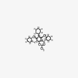 COC(=O)Oc1c(Cc2ccccc2)c(=O)n(-c2ccccc2)c(=O)n1Cc1ccccc1